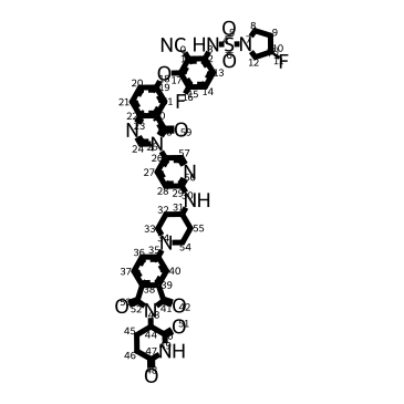 N#Cc1c(NS(=O)(=O)N2CC[C@@H](F)C2)ccc(F)c1Oc1ccc2ncn(-c3ccc(NC4CCN(c5ccc6c(c5)C(=O)N(C5CCC(=O)NC5=O)C6=O)CC4)nc3)c(=O)c2c1